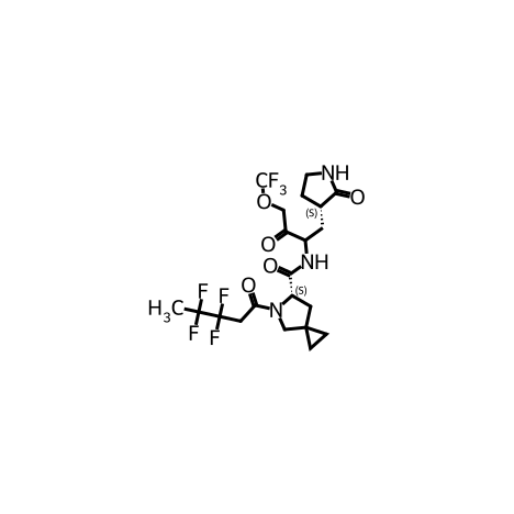 CC(F)(F)C(F)(F)CC(=O)N1CC2(CC2)C[C@H]1C(=O)NC(C[C@@H]1CCNC1=O)C(=O)COC(F)(F)F